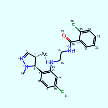 CC(=O)[C@H]1C=NN(C)[C@@H]1c1ccc(F)cc1NCCNC(=O)c1ccccc1F